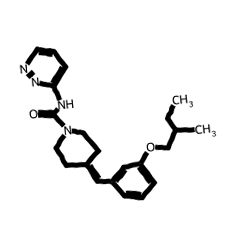 CCC(C)COc1cccc(C=C2CCN(C(=O)Nc3cccnn3)CC2)c1